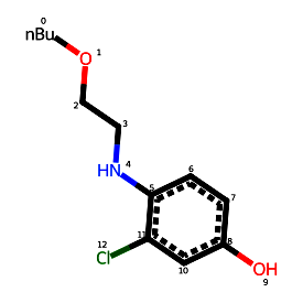 CCCCOCCNc1ccc(O)cc1Cl